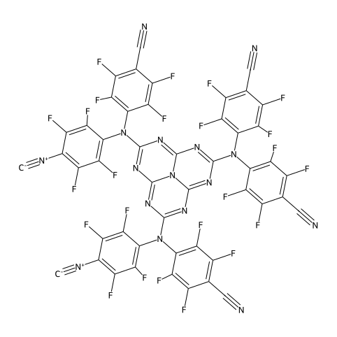 [C-]#[N+]c1c(F)c(F)c(N(C2=NC3=NC(N(c4c(F)c(F)c(C#N)c(F)c4F)c4c(F)c(F)c(C#N)c(F)c4F)=NC4=NC(N(c5c(F)c(F)c(C#N)c(F)c5F)c5c(F)c(F)c([N+]#[C-])c(F)c5F)=NC(=N2)N34)c2c(F)c(F)c(C#N)c(F)c2F)c(F)c1F